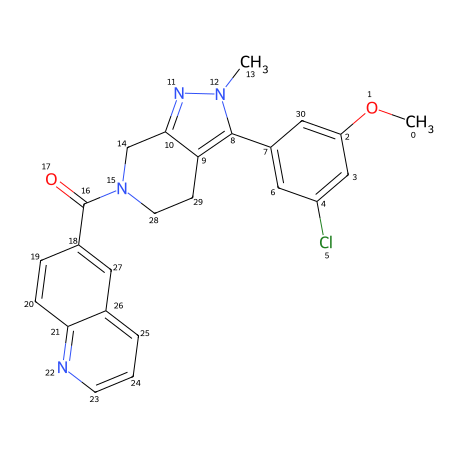 COc1cc(Cl)cc(-c2c3c(nn2C)CN(C(=O)c2ccc4ncccc4c2)CC3)c1